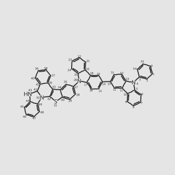 c1ccc(-n2c3ccccc3c3cc(-c4ccc5c(c4)c4ccccc4n5-c4ccc5sc6c(c5c4)-c4ccccc4C4Nc5ccccc5N64)ccc32)cc1